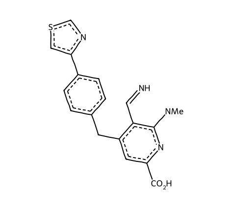 CNc1nc(C(=O)O)cc(Cc2ccc(-c3cscn3)cc2)c1C=N